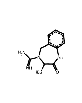 CC[C@H](C)C1C(=O)Nc2ccccc2CN1C(=N)N